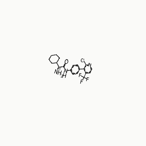 N[C@H](C(=O)Nc1ccc(-c2c(C(F)(F)F)ccnc2Cl)cc1)C1CCCCC1